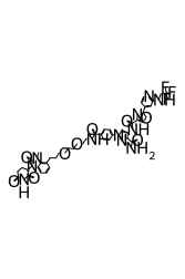 Cn1c(=O)n(C2CCC(=O)NC2=O)c2cccc(CCCOCCOCCNC(=O)c3ccc(-n4cc(NC(=O)c5coc(-c6ccnc(NCC(F)(F)F)c6)n5)c(C(N)=O)n4)cc3)c21